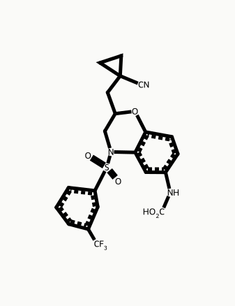 N#CC1(CC2CN(S(=O)(=O)c3cccc(C(F)(F)F)c3)c3cc(NC(=O)O)ccc3O2)CC1